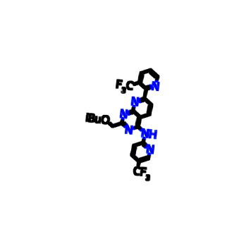 CC(C)COCc1nc(Nc2ccc(C(F)(F)F)cn2)c2ccc(-c3ncccc3C(F)(F)F)nc2n1